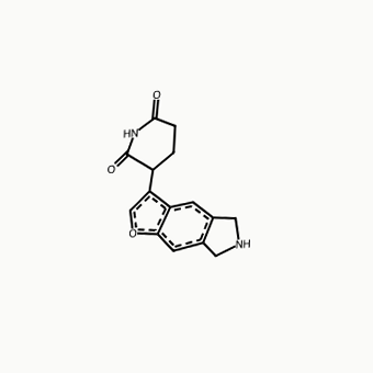 O=C1CCC(c2coc3cc4c(cc23)CNC4)C(=O)N1